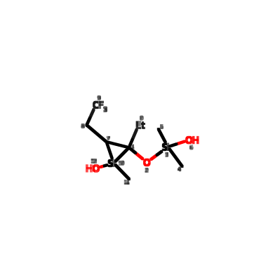 CCC1(O[Si](C)(C)O)C(CC(F)(F)F)[Si]1(C)O